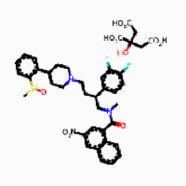 CN(CC(CCN1CCC(c2ccccc2[S@+](C)[O-])CC1)c1ccc(F)c(F)c1)C(=O)c1cc([N+](=O)[O-])cc2ccccc12.O=C(O)CC(O)(CC(=O)O)C(=O)O